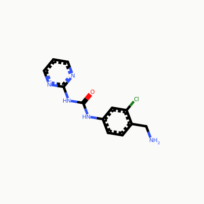 NCc1ccc(NC(=O)Nc2ncccn2)cc1Cl